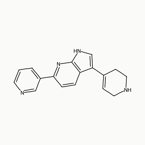 C1=C(c2c[nH]c3nc(-c4cccnc4)ccc23)CCNC1